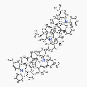 CCc1ccc(N(c2ccccc2)c2cc3c(c4ccccc24)-c2c(cc(N(c4ccc(CC)cc4)c4cccc(-c5cccc(N(c6ccc(C(C)C)cc6)c6cc7c(c8ccccc68)-c6c(cc(N(c8ccccc8)c8ccc(C(C)C)cc8)c8ccccc68)C76c7ccccc7-c7ccccc76)c5)c4)c4ccccc24)C32c3ccccc3-c3ccccc32)cc1